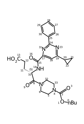 CCCCOC(=O)N1CCN(C(=O)[C@H](CCC(=O)O)NC(=O)c2cc(C3CC3)nc(-c3ccccc3)n2)CC1